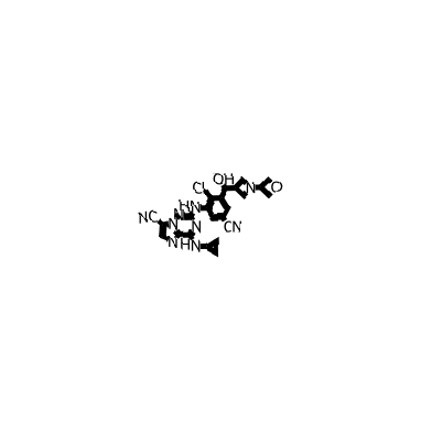 N#Cc1cc(Nc2nc(NC3CC3)c3ncc(C#N)n3n2)c(Cl)c(C(O)C2CN(C3COC3)C2)c1